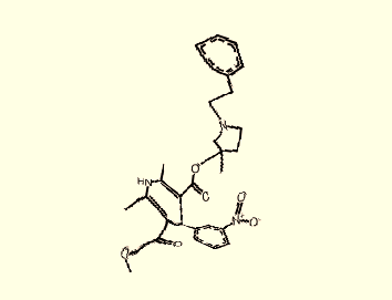 COC(=O)C1=C(C)NC(C)=C(C(=O)OC2(C)CCN(CCc3ccccc3)C2)[C@H]1c1cccc([N+](=O)[O-])c1